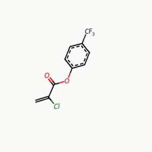 C=C(Cl)C(=O)Oc1ccc(C(F)(F)F)cc1